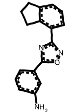 Nc1cccc(-c2nc(-c3cccc4c3CCC4)no2)c1